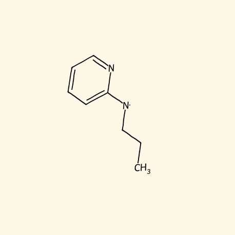 CCC[N]c1ccccn1